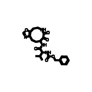 CC(C)C(NC(=O)OCc1ccccc1)C(=O)NC1CCc2ncoc2CCNC(=O)C1=O